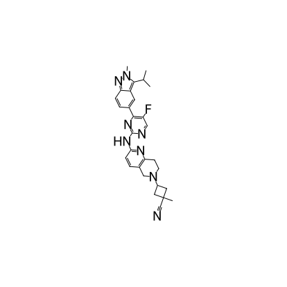 CC(C)c1c2cc(-c3nc(Nc4ccc5c(n4)CCN(C4CC(C)(C#N)C4)C5)ncc3F)ccc2nn1C